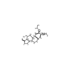 C=C1CCC2C3CCc4cc(N)c(OCC)cc4C3CC[C@]12C